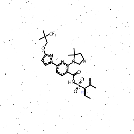 C=C(C)/C(=C\C)S(=O)(=O)NC(=O)c1ccc(-n2ccc(OCC(C)(C)C(F)(F)F)n2)nc1N1C[C@@H](C)CC1(C)C